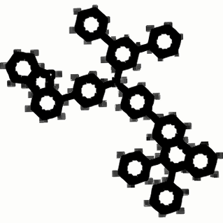 c1ccc(-c2cc(-c3ccccc3)cc(N(c3ccc(-c4ccc5c(c4)c(-c4ccccc4)c(-c4ccccc4)c4ccccc45)cc3)c3ccc(-c4cccc5c4oc4ccccc45)cc3)c2)cc1